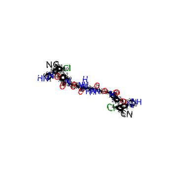 N#Cc1cc(Cl)cc2c1C[C@H](N1CCNCC1)[C@H]2Oc1ccc2c(c1)C(=O)N(CCOCCNC(=O)NCCCCNC(=O)NCCOCCN1Cc3ccc(O[C@H]4c5cc(Cl)cc(C#N)c5C[C@@H]4N4CCNCC4)cc3C1=O)C2